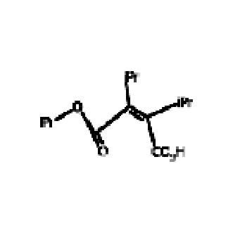 CC(C)OC(=O)/C(=C(\C(=O)O)C(C)C)C(C)C